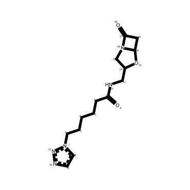 O=C(CCCCCn1ccnn1)NCC1CN2C(=O)CC2O1